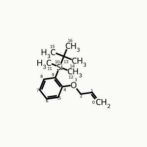 C=CCOc1[c]cccc1[Si](C)(C)C(C)(C)C